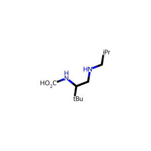 CC(C)CNCC(NC(=O)O)C(C)(C)C